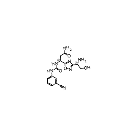 N#Cc1cccc(NC(=O)N[C@@H](CC(N)=O)c2nc([C@H](N)CO)no2)c1